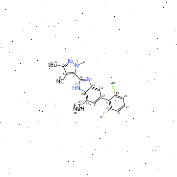 Cn1nc(C(C)(C)C)c(C#N)c1-c1nc2cc(-c3c(F)cccc3F)cc(C(F)(F)F)c2[nH]1.[NaH]